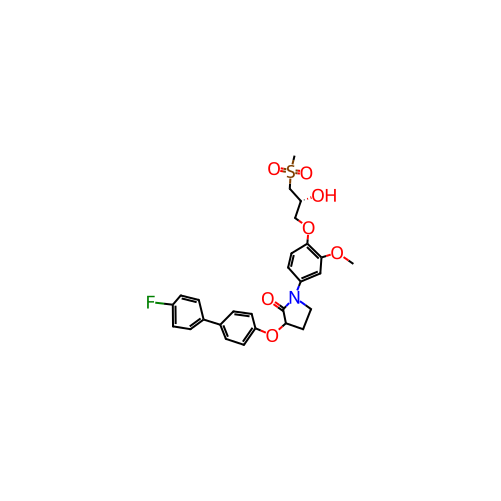 COc1cc(N2CCC(Oc3ccc(-c4ccc(F)cc4)cc3)C2=O)ccc1OC[C@@H](O)CS(C)(=O)=O